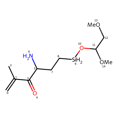 C=C(C)C(=O)C(N)CC[SiH2]OC(COC)OC